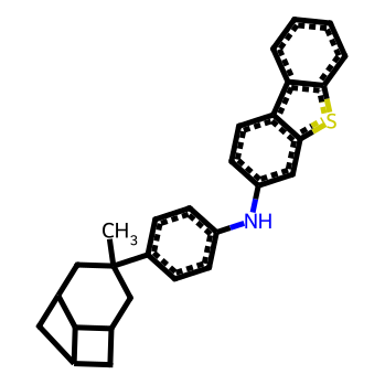 CC1(c2ccc(Nc3ccc4c(c3)sc3ccccc34)cc2)CC2CC3CC(C1)C32